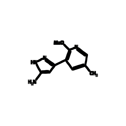 COc1ncc(C)cc1-c1cc(N)[nH]n1